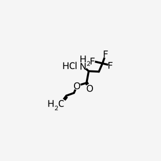 C=CCOC(=O)C(N)CC(F)(F)F.Cl